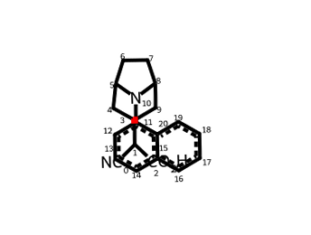 N#CC(C(=O)O)C1CC2CCC(C1)N2c1cccc2ccccc12